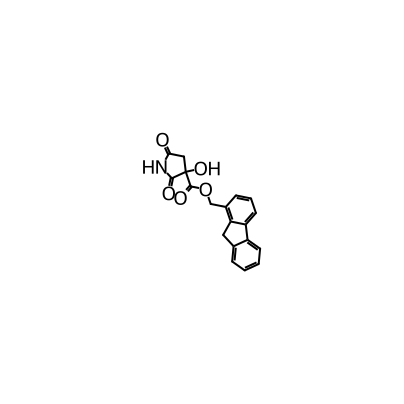 O=C1CC(O)(C(=O)OCc2cccc3c2Cc2ccccc2-3)C(=O)N1